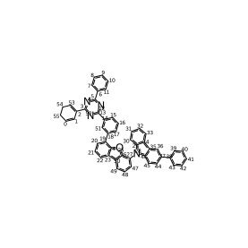 C1=CC(c2nc(-c3ccccc3)nc(-c3cccc(-c4cccc5c4oc4c(-n6c7ccccc7c7cc(-c8ccccc8)ccc76)cccc45)c3)n2)=CCC1